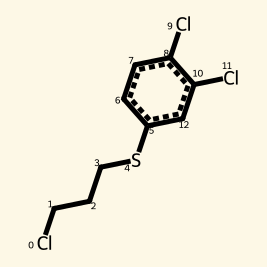 ClCCCSc1ccc(Cl)c(Cl)c1